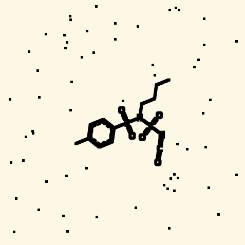 CCCCN(S(=O)(=O)N=C=O)S(=O)(=O)c1ccc(C)cc1